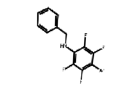 CC(=O)c1c(F)c(F)c(NCc2ccccc2)c(F)c1F